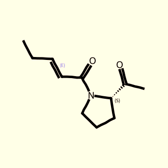 CC/C=C/C(=O)N1CCC[C@H]1C(C)=O